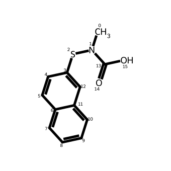 CN(Sc1ccc2ccccc2c1)C(=O)O